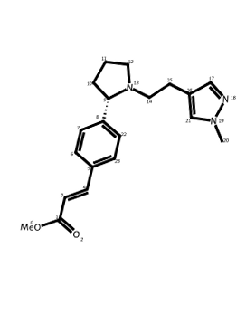 COC(=O)/C=C/c1ccc([C@@H]2CCCN2CCc2cnn(C)c2)cc1